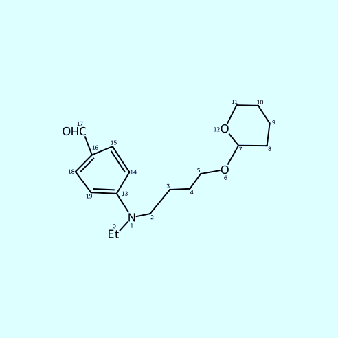 CCN(CCCCOC1CCCCO1)c1ccc(C=O)cc1